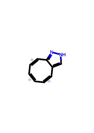 C1=C\C=C/c2n[nH]cc2\C=C/1